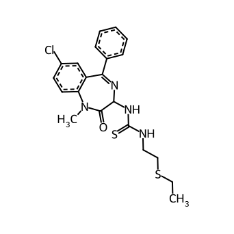 CCSCCNC(=S)NC1N=C(c2ccccc2)c2cc(Cl)ccc2N(C)C1=O